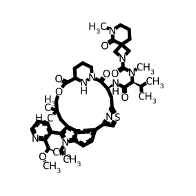 CCn1c(-c2cccnc2[C@H](C)OC)c2c3cc(ccc31)-c1csc(n1)C[C@H](NC(=O)[C@H](C(C)C)N(C)C(=O)N1CC3(CCCN(C)C3=O)C1)C(=O)N1CCC[C@](C=O)(COCC(C)(C)C2)N1